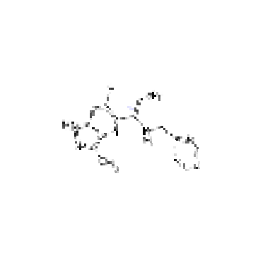 CCC/C=C(\NCc1ccccn1)c1cc2c(C)n[nH]c2cc1F